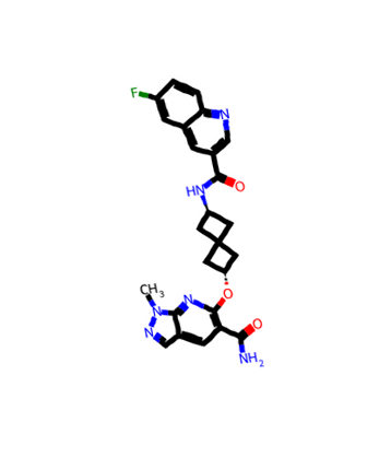 Cn1ncc2cc(C(N)=O)c(O[C@H]3CC4(C[C@H](NC(=O)c5cnc6ccc(F)cc6c5)C4)C3)nc21